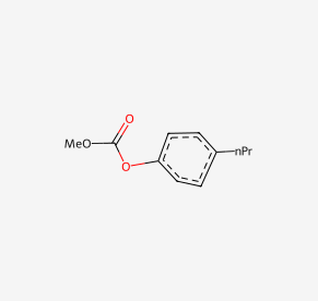 CCCc1ccc(OC(=O)OC)cc1